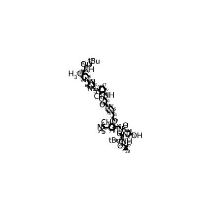 Cc1ncsc1-c1ccc(CNC(=O)[C@@H]2C[C@@H](O)CN2C(=O)[C@@H](NC(=O)C2(F)CC2)C(C)(C)C)c(OCCN2CCN(C(=O)CC(=O)Nc3cccc(Sc4cnc(N5CCC(C)(CNC(=O)OC(C)(C)C)CC5)cn4)c3Cl)CC2)c1